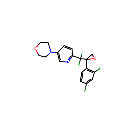 Fc1ccc(C2(C(F)(F)c3ccc(N4CCOCC4)cn3)CO2)c(F)c1